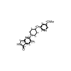 COc1cncc(OC2CCN(c3nc4c(cc3C)C(=O)NC4)CC2)c1